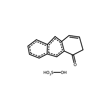 O=C1CC=Cc2cc3ccccc3cc21.O=S(=O)(O)O